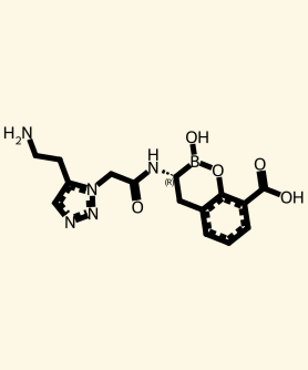 NCCc1cnnn1CC(=O)N[C@H]1Cc2cccc(C(=O)O)c2OB1O